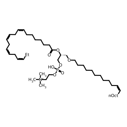 CC/C=C\C/C=C\C/C=C\C/C=C\CCCCCCC(=O)O[C@H](COCCCCCCCCCC/C=C\CCCCCCCC)COP(=O)(O)OCC[N+](C)(C)C